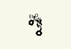 CCC(=O)N(c1ccccc1)c1ncc2n1CCN(Cc1ccccc1)C2